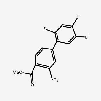 COC(=O)c1ccc(-c2cc(Cl)c(F)cc2F)cc1N